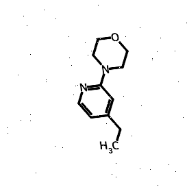 CCc1ccnc(N2CCOCC2)c1